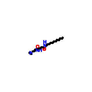 CCCCCCCCCCCCNC(=O)CCC(=O)NCCCN(C)C